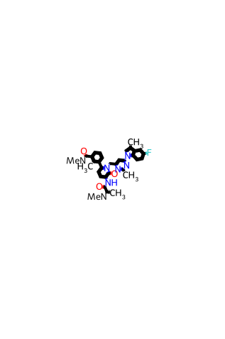 CNC(=O)c1cccc(-c2ccc(NC(=O)[C@H](C)NC)c(=O)n2Cc2cc(-n3cc(C)c4cc(F)ccc43)nc(C)n2)c1C